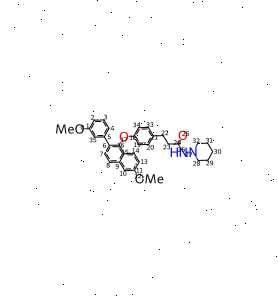 COc1cccc(-c2ccc3cc(OC)ccc3c2Oc2ccc(CCC(=O)NN3CCCCC3)cc2)c1